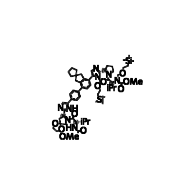 COC(=O)N[C@H](C(=O)N1CC2(C[C@H]1c1ncc(-c3ccc(-c4ccc(-c5cnc([C@@H]6CCCN6C(=O)[C@H](C(C)C)N(COCC[Si](C)(C)C)C(=O)OC)n5COCC[Si](C)(C)C)c5c4CC4(CCCC4)C5)cc3)[nH]1)OCCO2)C(C)C